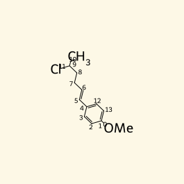 COc1ccc(C=CCCC(C)Cl)cc1